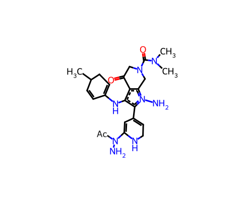 CC(=O)N(N)C1=CC(c2c(NC3=CCC(C)C=C3)c3c(n2N)CN(C(=O)N(C)C)CC3=O)=CCN1